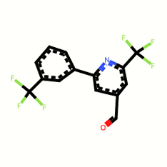 O=Cc1cc(-c2cccc(C(F)(F)F)c2)nc(C(F)(F)F)c1